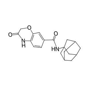 O=C1COc2cc(C(=O)NC34CC5CC(CC(C5)C3)C4)ccc2N1